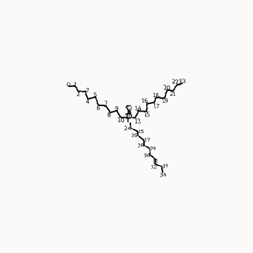 CCCCCCCCCCCP(=S)(CCCCCCCCCCC)CCCCCCCCCCC